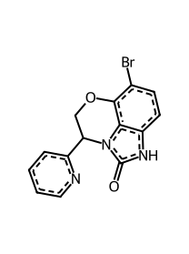 O=c1[nH]c2ccc(Br)c3c2n1C(c1ccccn1)CO3